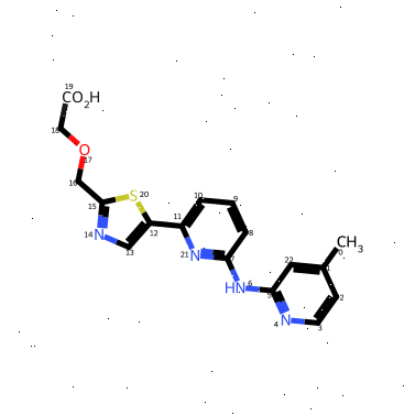 Cc1ccnc(Nc2cccc(-c3cnc(COCC(=O)O)s3)n2)c1